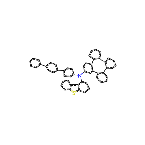 c1ccc(-c2ccc(-c3ccc(N(c4ccc5c(c4)-c4ccccc4-c4ccccc4-c4ccccc4-5)c4cccc5sc6ccccc6c45)cc3)cc2)cc1